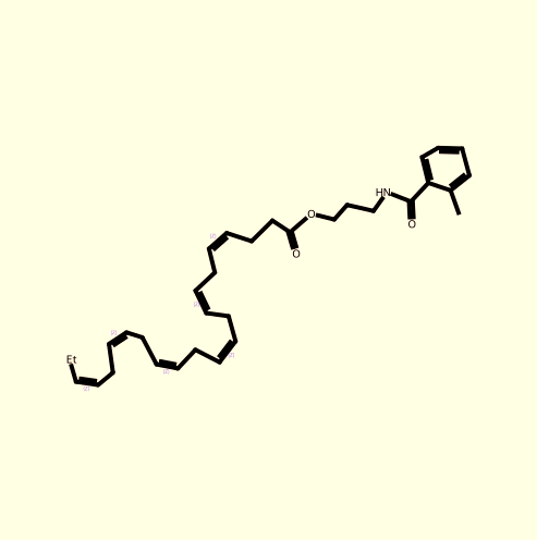 CC/C=C\C/C=C\C/C=C\C/C=C\C/C=C\C/C=C\CCC(=O)OCCCNC(=O)c1ccccc1C